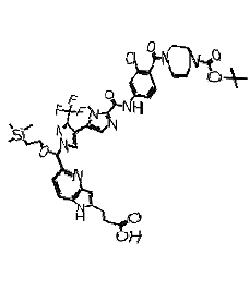 Cn1c(-c2cn(C(OCC[Si](C)(C)C)c3ccc4[nH]c(CCC(=O)O)cc4n3)nc2C(F)(F)F)cnc1C(=O)Nc1ccc(C(=O)N2CCN(C(=O)OC(C)(C)C)CC2)c(Cl)c1